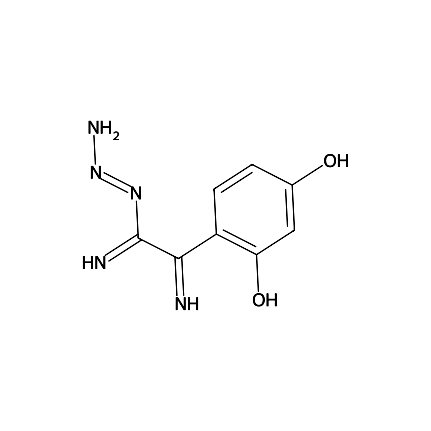 N=C(N=NN)C(=N)c1ccc(O)cc1O